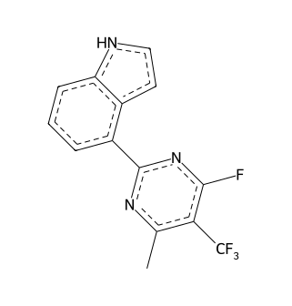 Cc1nc(-c2cccc3[nH]ccc23)nc(F)c1C(F)(F)F